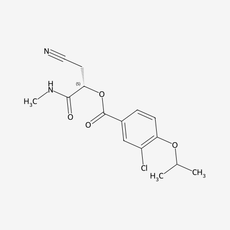 CNC(=O)[C@H](CC#N)OC(=O)c1ccc(OC(C)C)c(Cl)c1